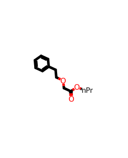 CCCOC(=O)COCCc1ccccc1